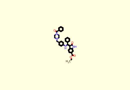 CCOC(=O)c1ccc2c(c1)NC(=O)C2=C(Nc1ccc(CN2CCN(C(=O)c3ccccc3)CC2)cc1)c1ccccc1